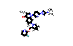 CN(C)C1CN(c2ccc(-n3cc(C(=O)O)c(=O)c4cc(C#N)c(N5C[C@@H]6C[C@@H]6C5COc5ncccc5F)cc43)cn2)C1